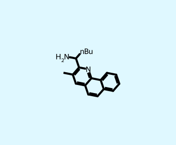 CCCCC(N)c1nc2c(ccc3ccccc32)cc1C